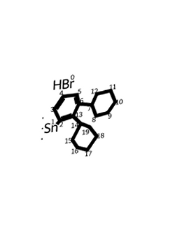 Br.[Sn][c]1cccc(C2CCCCC2)c1C1CCCCC1